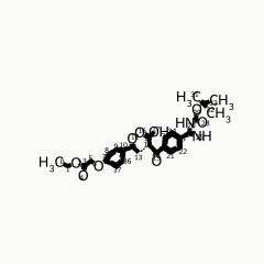 CCOC(=O)COc1ccc(C(=O)C[C@H](C(=O)O)C(=O)c2ccc(C(=N)NC(=O)OC(C)(C)C)cc2)cc1